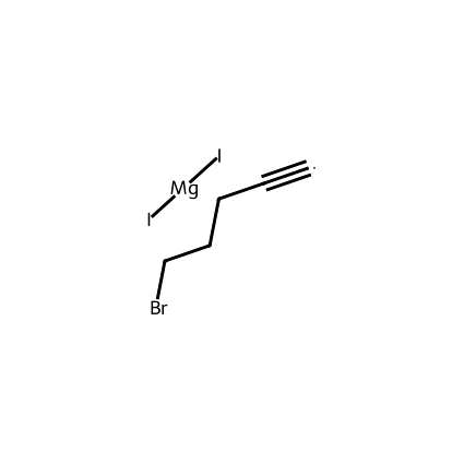 [C]#CCCCBr.[I][Mg][I]